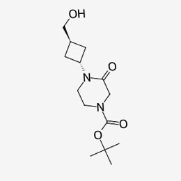 CC(C)(C)OC(=O)N1CCN([C@H]2C[C@H](CO)C2)C(=O)C1